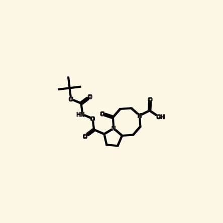 CC(C)(C)OC(=O)NOC(=O)C1CCC2CCN(C(=O)O)CCC(=O)N21